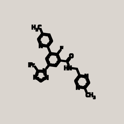 Cc1ccc(-c2cc(-n3ncnc3C(C)C)cc(C(=O)NCc3cnc(C)cn3)c2F)nc1